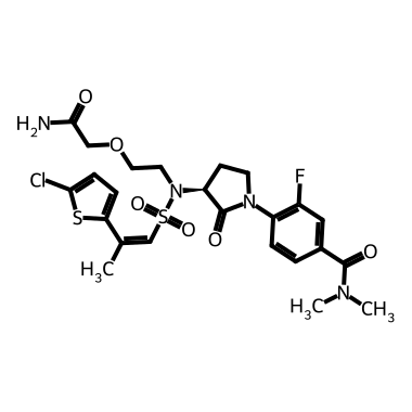 CC(=CS(=O)(=O)N(CCOCC(N)=O)[C@H]1CCN(c2ccc(C(=O)N(C)C)cc2F)C1=O)c1ccc(Cl)s1